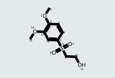 COc1ccc(S(=O)(=O)CCO)cc1OC